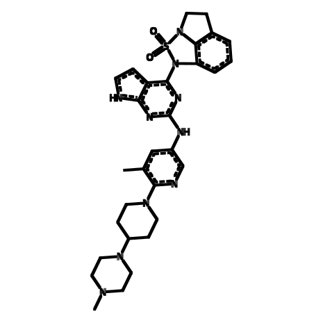 Cc1cc(Nc2nc(N3c4cccc5c4N(CC5)S3(=O)=O)c3cc[nH]c3n2)cnc1N1CCC(N2CCN(C)CC2)CC1